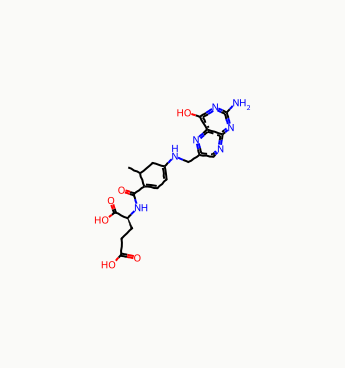 CC1CC(NCc2cnc3nc(N)nc(O)c3n2)=CC=C1C(=O)N[C@@H](CCC(=O)O)C(=O)O